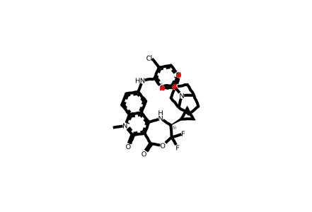 Cn1c(=O)c2c(c3cc(Nc4nc(N5C6CCC5CS(=O)(=O)C6)ncc4Cl)ccc31)N[C@@H](C1CC1)C(F)(F)OC2=O